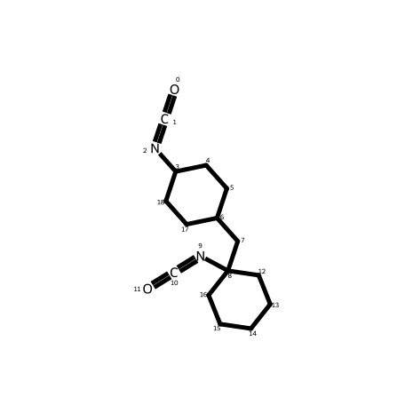 O=C=NC1CCC(CC2(N=C=O)CCCCC2)CC1